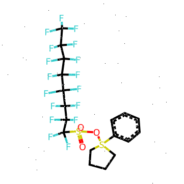 O=S(=O)(OS1(c2ccccc2)CCCC1)C(F)(F)C(F)(F)C(F)(F)C(F)(F)C(F)(F)C(F)(F)C(F)(F)C(F)(F)F